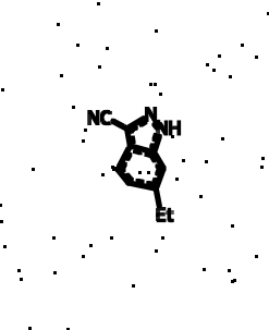 CCc1ccc2c(C#N)n[nH]c2c1